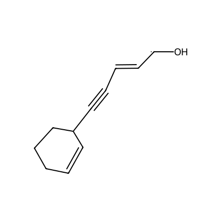 O[CH]C=CC#CC1C=CCCC1